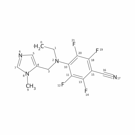 [CH2]CN(Cc1cncn1C)c1c(F)c(F)c(C#N)c(F)c1F